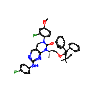 COc1ccc(N2Cc3cnc(Nc4ccc(F)cc4)nc3N([C@@H](C)CO[Si](c3ccccc3)(c3ccccc3)C(C)(C)C)C2=O)c(F)c1